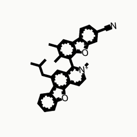 Cc1cc2c(oc3cc(C#N)ccc32)c(-c2c3cc(CC(C)C)c4c5ccccc5oc4c3cc[n+]2C)c1C